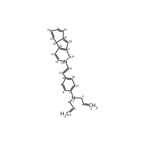 C=CCN(CC=C)c1ccc(C=CN2C=CC3=C(C=C4C=CC=CC43)S2)cc1